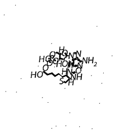 Nc1ncnc2c1ncn2[C@@H]1O[C@@H]2COP(=O)(O)O[C@H]2[C@H]1O.O=C(O)CCCC[C@@H]1SC[C@@H]2NC(=O)N[C@@H]21